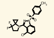 Cc1ccc(S(=O)(=O)n2nc(N3CCC(F)(F)C34CC4)c3c(Cl)cccc32)cc1